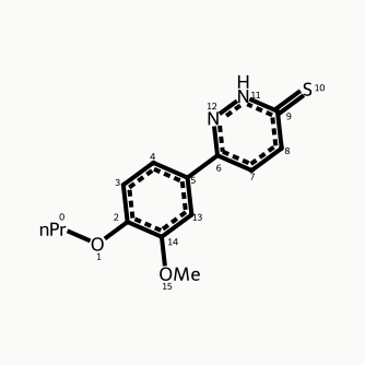 CCCOc1ccc(-c2ccc(=S)[nH]n2)cc1OC